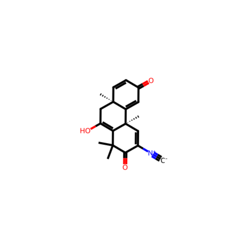 [C-]#[N+]C1=C[C@]2(C)C3=CC(=O)C=C[C@]3(C)CC(O)=C2C(C)(C)C1=O